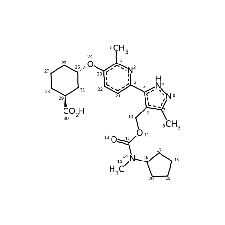 Cc1nc(-c2[nH]nc(C)c2COC(=O)N(C)C2CCCC2)ccc1O[C@H]1CCC[C@H](C(=O)O)C1